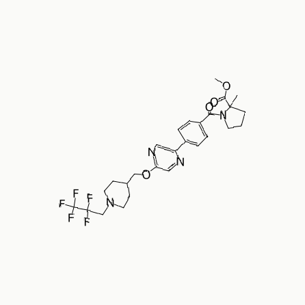 COC(=O)C1(C)CCCN1C(=O)c1ccc(-c2cnc(OCC3CCN(CC(F)(F)C(F)(F)F)CC3)cn2)cc1